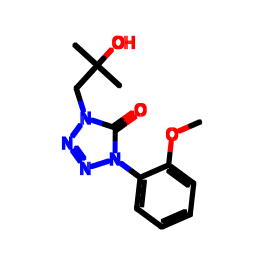 COc1ccccc1-n1nnn(CC(C)(C)O)c1=O